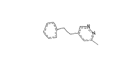 Cc1cc(CCc2ccccc2)cnn1